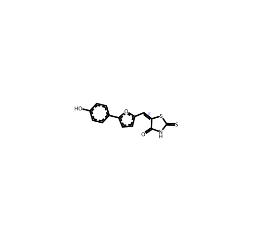 O=C1NC(=S)S/C1=C/c1ccc(-c2ccc(O)cc2)o1